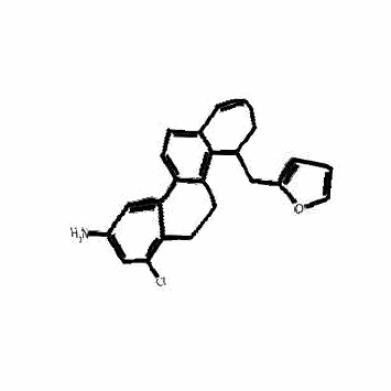 Nc1cc(Cl)c2c(c1)-c1ccc3c(c1CC2)C(Cc1ccco1)CC=C3